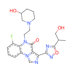 CC(CO)c1nc(-c2ncn3c2c(=O)n(CCN2CCCC(O)C2)c2c(F)cccc23)no1